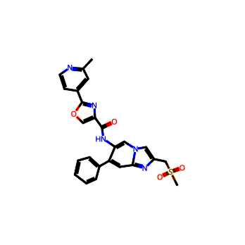 Cc1cc(-c2nc(C(=O)Nc3cn4cc(CS(C)(=O)=O)nc4cc3-c3ccccc3)co2)ccn1